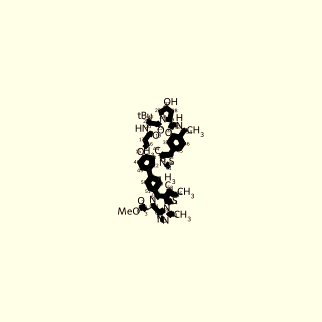 COC(=O)C[C@@H]1N=C(c2ccc(-c3ccc(OCCC(=O)NC(C(=O)N4C[C@H](O)C[C@H]4C(=O)N[C@@H](C)c4ccc(-c5scnc5C)cc4)C(C)(C)C)cc3)cc2)c2c(sc(C)c2C)-n2c(C)nnc21